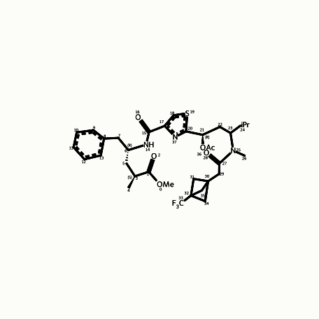 COC(=O)[C@@H](C)C[C@H](Cc1ccccc1)NC(=O)c1csc([C@@H](CC(C(C)C)N(C)C(=O)CC23CC(C(F)(F)F)(C2)C3)OC(C)=O)n1